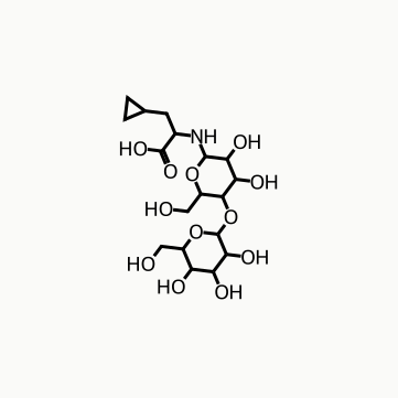 O=C(O)C(CC1CC1)NC1OC(CO)C(OC2OC(CO)C(O)C(O)C2O)C(O)C1O